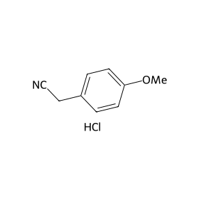 COc1ccc(CC#N)cc1.Cl